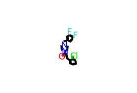 O=C(C=Cc1ccccc1Cl)N1CCN(Cc2ccc(F)c(F)c2)CC1